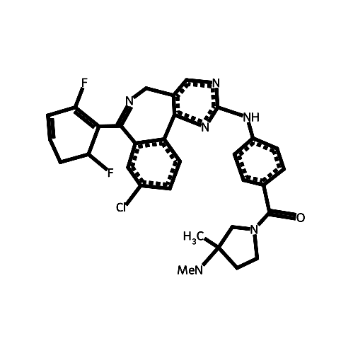 CNC1(C)CCN(C(=O)c2ccc(Nc3ncc4c(n3)-c3ccc(Cl)cc3C(C3=C(F)C=CCC3F)=NC4)cc2)C1